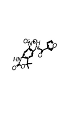 CC1(C)OC(=O)Nc2cc([N+](=O)[O-])c(NC(=O)c3ccoc3)cc21